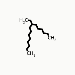 [CH2]CC(CCCCCC)CCCCCCCC